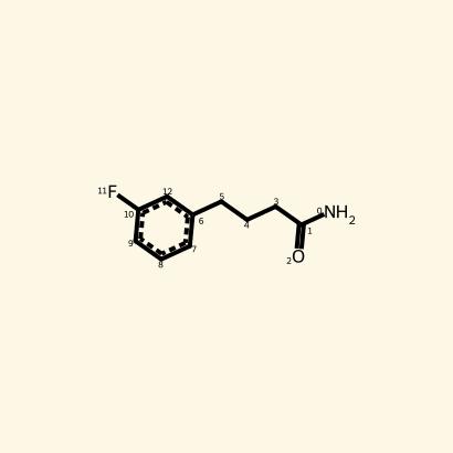 NC(=O)CCCc1cccc(F)c1